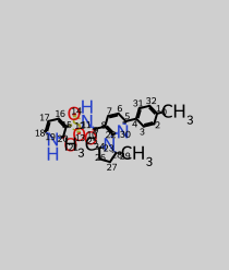 Cc1ccc(-c2ccc(C(=O)NS(=O)(=O)c3ccc[nH]c3=O)c(N3[C@H](C)CC[C@@H]3C)n2)cc1